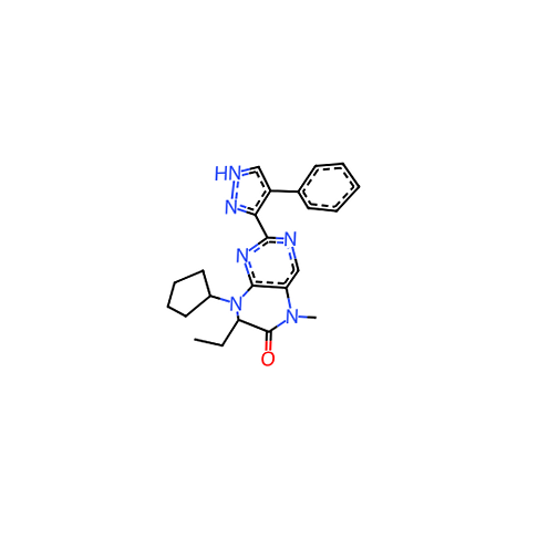 CCC1C(=O)N(C)c2cnc(-c3n[nH]cc3-c3ccccc3)nc2N1C1CCCC1